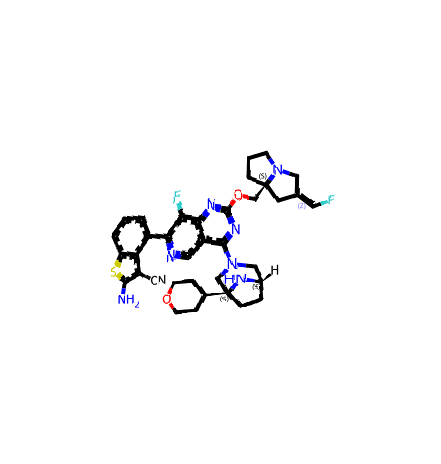 N#Cc1c(N)sc2cccc(-c3ncc4c(N5C[C@@H]6CC[C@](C7CCOCC7)(C5)N6)nc(OC[C@@]56CCCN5C/C(=C\F)C6)nc4c3F)c12